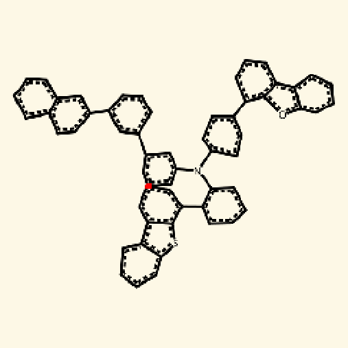 c1cc(-c2cccc(N(c3ccc(-c4cccc5c4oc4ccccc45)cc3)c3ccccc3-c3cccc4c3sc3ccccc34)c2)cc(-c2ccc3ccccc3c2)c1